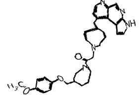 COc1ccc(OCC2CCCN(C(=O)CN3CCC(c4ccnc5cnc6[nH]ccc6c45)CC3)C2)cc1